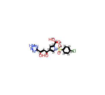 O=C(C=C(O)c1nn[nH]n1)c1cc(C(=O)O)n(S(=O)(=O)c2ccc(Cl)cc2)c1